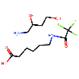 NCC(O)CCO.O=C(O)CCCCCNC(=O)C(F)(F)F